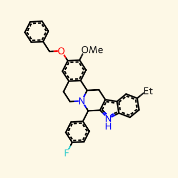 CCc1ccc2[nH]c3c(c2c1)CC1c2cc(OC)c(OCc4ccccc4)cc2CCN1C3c1ccc(F)cc1